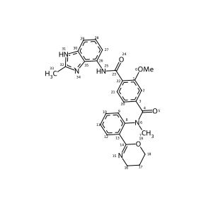 COc1cc(C(=O)N(C)c2ccccc2C2=NCCCO2)ccc1C(=O)Nc1cccc2[nH]c(C)nc12